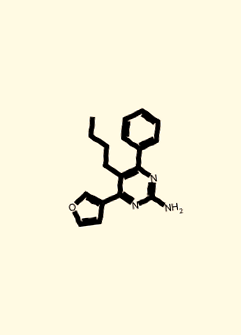 CCCCc1c(-c2ccccc2)nc(N)nc1-c1ccoc1